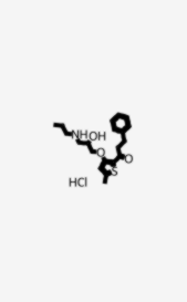 CCCNCC(O)COc1cc(C)sc1C(=O)CCc1ccccc1.Cl